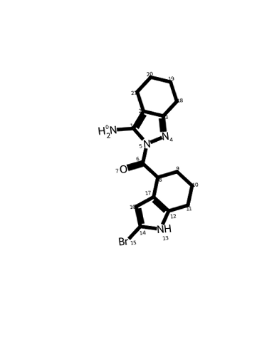 Nc1c2c(nn1C(=O)C1CCCc3[nH]c(Br)cc31)CCCC2